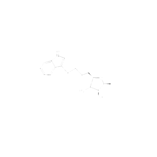 C[C@@H]1O[C@H](CCCCc2c[nH]c3ccccc23)C(O)[C@@H]1O